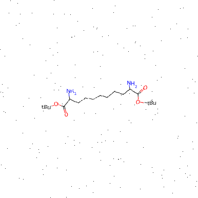 CC(C)(C)OC(=O)C(N)CCCCCCCC(N)C(=O)OC(C)(C)C